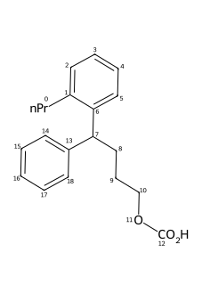 CCCc1ccccc1C(CCCOC(=O)O)c1ccccc1